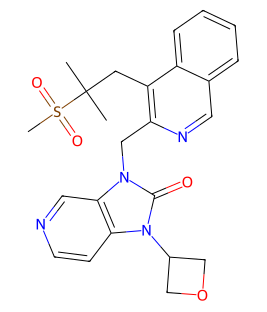 CC(C)(Cc1c(Cn2c(=O)n(C3COC3)c3ccncc32)ncc2ccccc12)S(C)(=O)=O